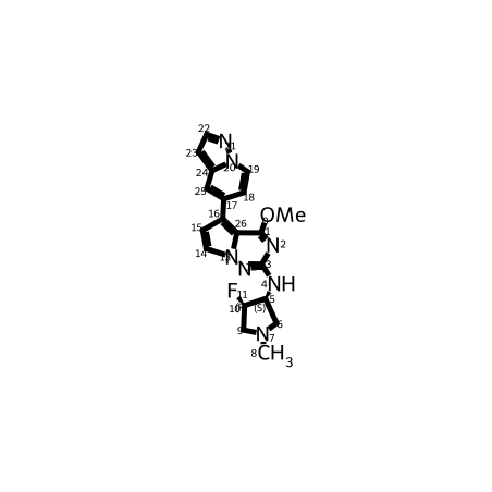 COc1nc(N[C@H]2CN(C)C[C@H]2F)nn2ccc(-c3ccn4nccc4c3)c12